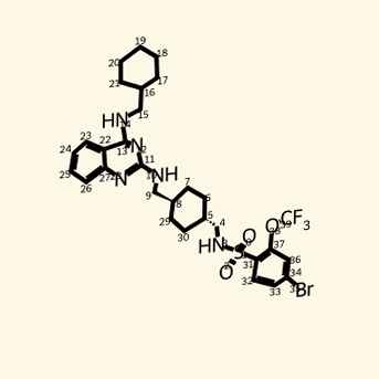 O=S(=O)(NC[C@H]1CC[C@H](CNc2nc(NCC3CCCCC3)c3ccccc3n2)CC1)c1ccc(Br)cc1OC(F)(F)F